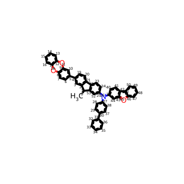 CC1c2cc(-c3ccc4c(c3)Oc3ccccc3O4)ccc2-c2ccc(N(c3ccc(-c4ccccc4)cc3)c3ccc4c(c3)oc3ccccc34)cc21